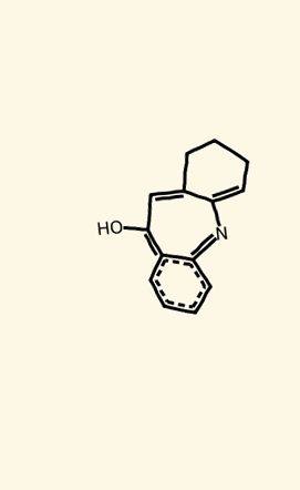 OC1=c2ccccc2=NC2=CCCCC2=C1